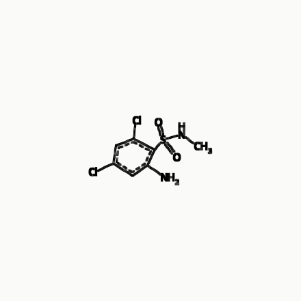 CNS(=O)(=O)c1c(N)cc(Cl)cc1Cl